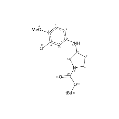 COc1ccc(NC2CCN(C(=O)OC(C)(C)C)C2)cc1Cl